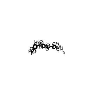 CNc1ccc(CCS(=O)(=O)N2CCC3(CC2)N=C(c2cccc(OC(F)(F)F)c2)NC3=O)c(C)c1